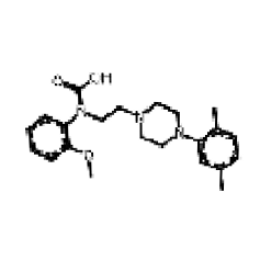 COc1ccccc1N(CCN1CCN(c2cc(C)ccc2C)CC1)C(=O)O